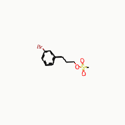 CS(=O)(=O)OCCCc1cccc(Br)c1